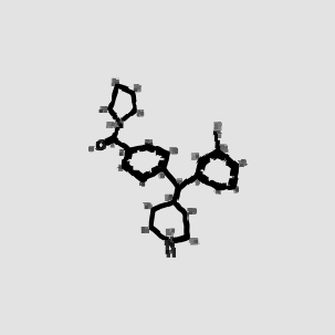 O=C(c1ccc(C(c2cccc(F)c2)C2CCNCC2)cc1)N1CCCC1